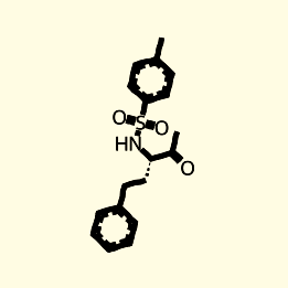 CC(=O)[C@H](CCc1ccccc1)NS(=O)(=O)c1ccc(C)cc1